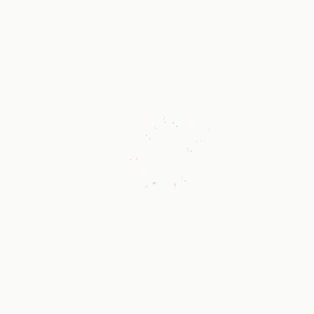 C/C=C1\NC(=O)c2nc(ccc2F)CNC(=O)C[C@@H](CCCCS)OC(=O)[C@H](C(C)C)NC1=O